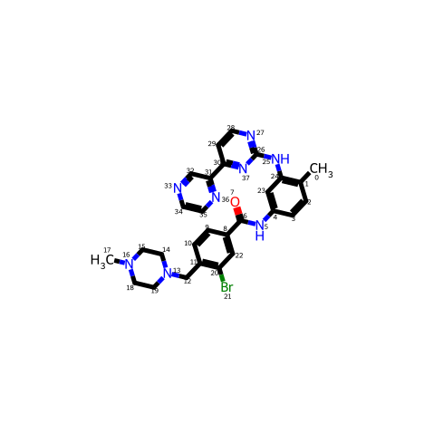 Cc1ccc(NC(=O)c2ccc(CN3CCN(C)CC3)c(Br)c2)cc1Nc1nccc(-c2cnccn2)n1